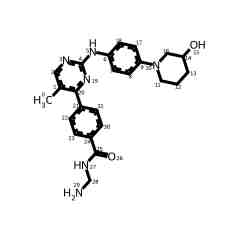 Cc1cnc(Nc2ccc(N3CCCC(O)C3)cc2)nc1-c1ccc(C(=O)NCN)cc1